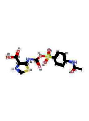 CC(=O)Nc1ccc(S(=O)(=O)OC(=O)Nc2scnc2C(=O)O)cc1